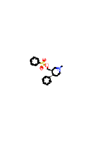 CN1CC[C@H](c2ccccc2)[C@@H](COS(=O)(=O)c2ccccc2)C1